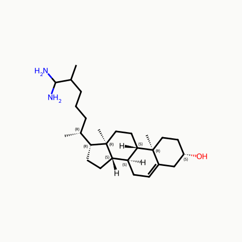 CC(CCC[C@@H](C)[C@H]1CC[C@H]2[C@@H]3CC=C4C[C@@H](O)CC[C@]4(C)[C@H]3CC[C@]12C)C(N)N